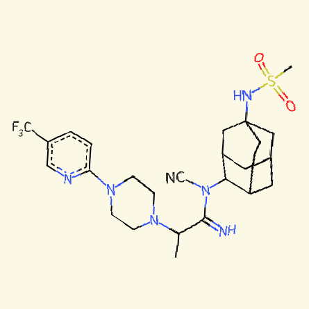 CC(C(=N)N(C#N)C1C2CC3CC1CC(NS(C)(=O)=O)(C3)C2)N1CCN(c2ccc(C(F)(F)F)cn2)CC1